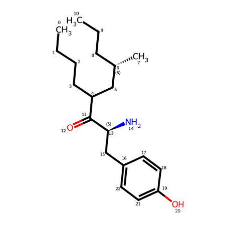 CCCCC(C[C@@H](C)CCC)C(=O)[C@@H](N)Cc1ccc(O)cc1